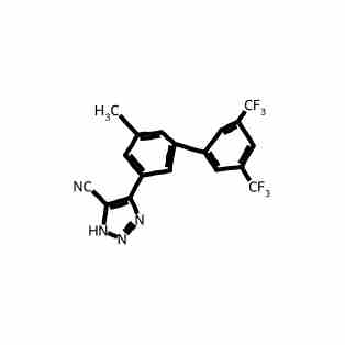 Cc1cc(-c2cc(C(F)(F)F)cc(C(F)(F)F)c2)cc(-c2nn[nH]c2C#N)c1